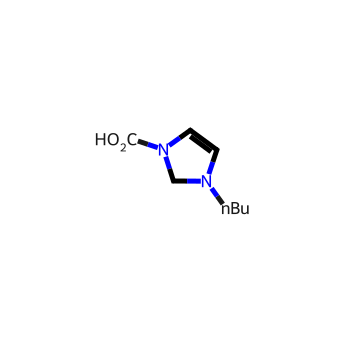 CCCCN1C=CN(C(=O)O)C1